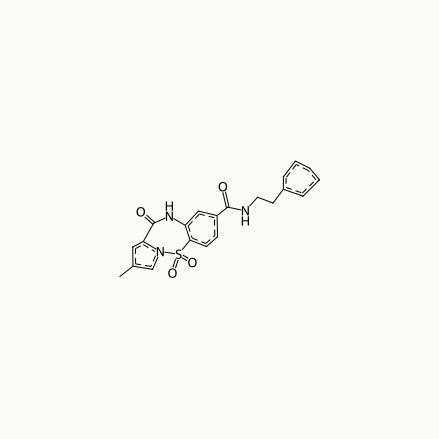 Cc1cc2n(c1)S(=O)(=O)c1ccc(C(=O)NCCc3ccccc3)cc1NC2=O